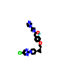 O=C(Cc1ccc(OCC[C@@H]2C[C@@H]2C2CCN(c3ncc(Cl)cn3)CC2)cc1F)N1CC(n2ccnc2)C1